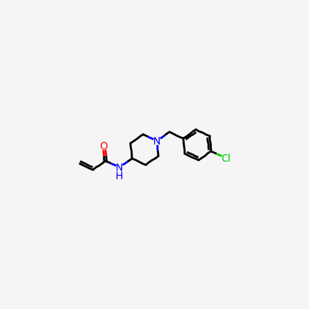 C=CC(=O)NC1CCN(Cc2ccc(Cl)cc2)CC1